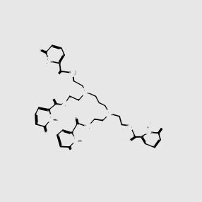 O=C(NCCN(CCCN(CCNC(=O)c1cccc(=O)n1O)CCNC(=O)c1cccc(=O)n1O)CCNC(=O)c1cccc(=O)n1O)c1cccc(=O)n1O